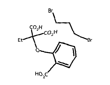 BrCCCBr.CCC(Oc1ccccc1C(=O)O)(C(=O)O)C(=O)O